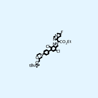 CCOC(=O)C(c1ncn2c1C[C@@H](F)C2)n1cc2c(Cl)cc(-c3ccc(N4CCOC(CO[Si](C)(C)C(C)(C)C)C4)cc3)c(Cl)c2n1